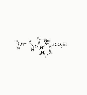 CCOC(=O)c1ccnn2c(NCC3CC3)cnc12